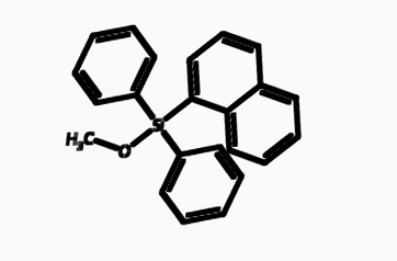 CO[Si](c1ccccc1)(c1ccccc1)c1cccc2ccccc12